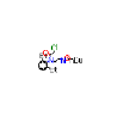 CCCCON=CCN(C(=O)CCl)c1c(CC)cccc1CC